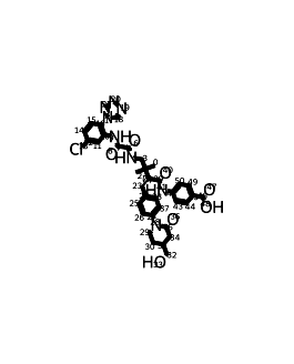 CC(C)(CNC(=O)C(=O)Nc1cc(Cl)ccc1-n1cnnn1)[C@H](Cc1ccc(N2CCC(CO)CC2=O)cc1)C(=O)Nc1ccc(C(=O)O)cc1